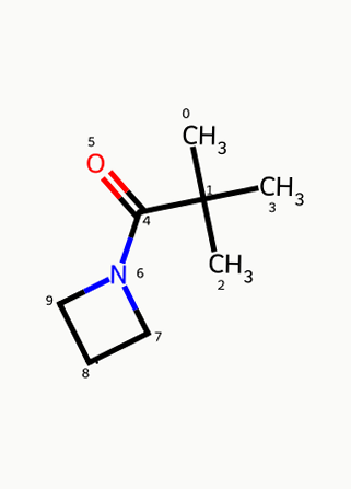 CC(C)(C)C(=O)N1C[CH]C1